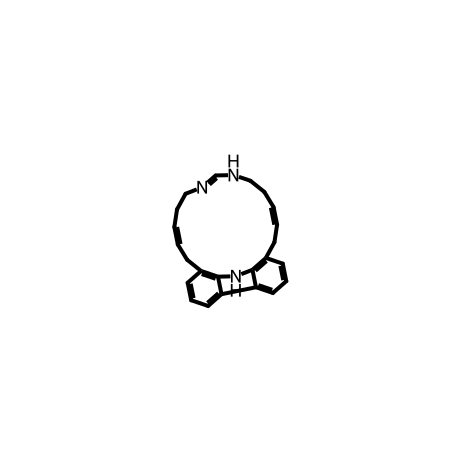 C1=C\Cc2cccc3c2[nH]c2c(cccc23)C/C=C\CCN/C=N/CC/1